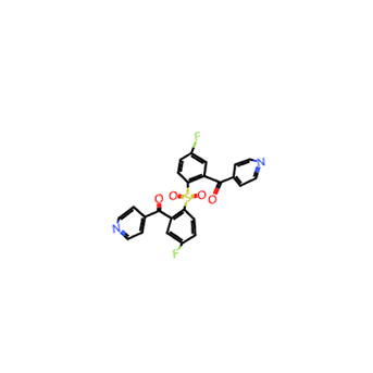 O=C(c1ccncc1)c1cc(F)ccc1S(=O)(=O)c1ccc(F)cc1C(=O)c1ccncc1